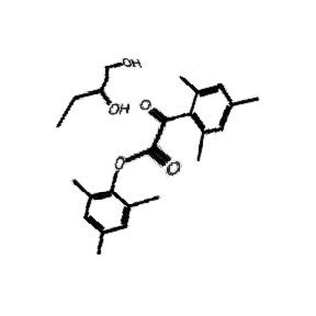 CCC(O)CO.Cc1cc(C)c(OC(=O)C(=O)c2c(C)cc(C)cc2C)c(C)c1